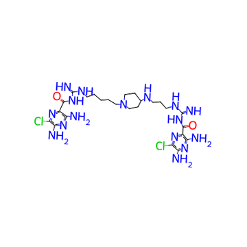 N=C(NCCCCCN1CCC(NCCCNC(=N)NC(=O)c2nc(Cl)c(N)nc2N)CC1)NC(=O)c1nc(Cl)c(N)nc1N